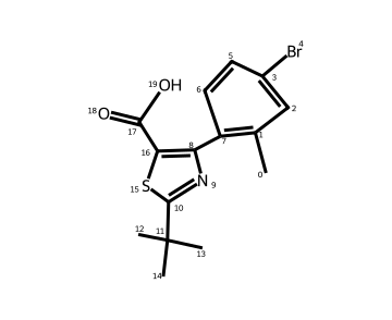 Cc1cc(Br)ccc1-c1nc(C(C)(C)C)sc1C(=O)O